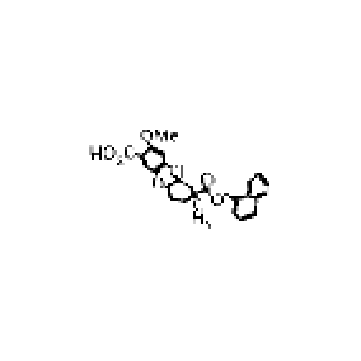 COc1cc(Cl)c(OC2CCC(C)(C(=O)OCc3cccc4ccccc34)CC2)cc1C(=O)O